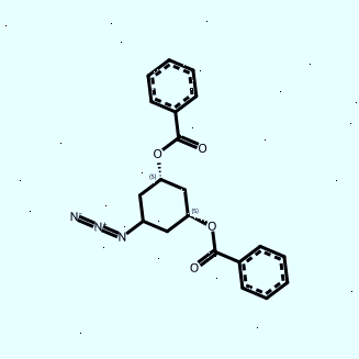 [N-]=[N+]=NC1C[C@H](OC(=O)c2ccccc2)C[C@@H](OC(=O)c2ccccc2)C1